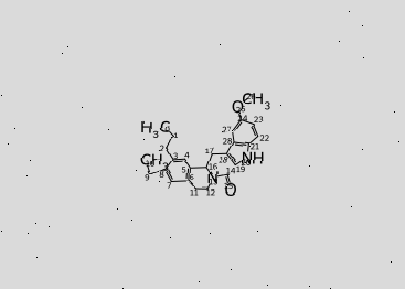 CCCc1cc2c(cc1CC)CCN(C=O)C2Cc1c[nH]c2ccc(OC)cc12